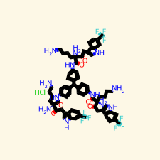 Cl.NCCCC[C@](N)(C(=O)Cc1c[nH]c2cc(C(F)(F)F)ccc12)C(=O)Nc1ccc(C(c2ccc(NC(=O)[C@](N)(CCCCN)C(=O)Cc3c[nH]c4cc(C(F)(F)F)ccc34)cc2)c2ccc(NC(=O)[C@](N)(CCCCN)C(=O)Cc3c[nH]c4cc(C(F)(F)F)ccc34)cc2)cc1